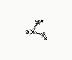 CC(C)(C)COS(=O)(=O)CCCCOCC1(COCCCCS(=O)(=O)OCC(C)(C)C)COc2cscc2OC1